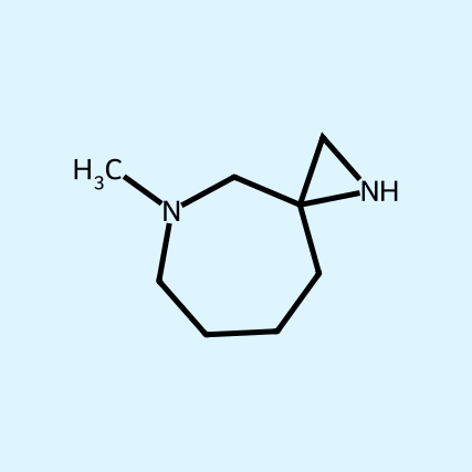 CN1CCCCC2(CN2)C1